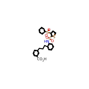 O=C(O)c1cccc(CCCc2ccccc2NS(=O)(=O)c2sccc2S(=O)(=O)c2ccccc2)c1